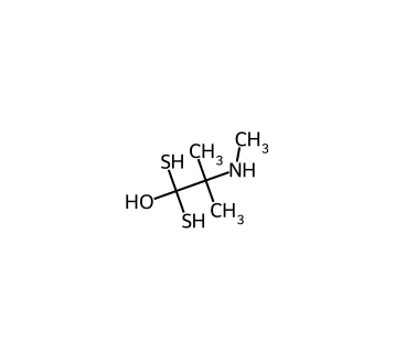 CNC(C)(C)C(O)(S)S